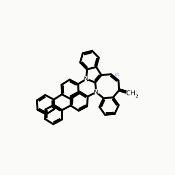 C=C1/C=C\c2c(n(-c3ccc(-c4ccccc4)cc3)c3ccccc23)N(c2ccc(-c3ccccc3)cc2)c2ccccc21